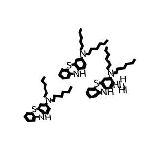 CCCCCCN(CCCCCC)c1ccc2c(c1)Sc1ccccc1N2.CCCCCCN(CCCCCC)c1ccc2c(c1)Sc1ccccc1N2.CCCCCCN(CCCCCC)c1ccc2c(c1)Sc1ccccc1N2.I.I.I